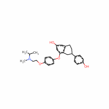 CC(C)N(C)CCOc1ccc(Oc2cc(O)cc3c2CC(c2ccc(O)cc2)CC3)cc1